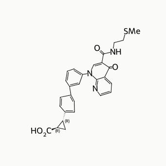 CSCCNC(=O)c1cn(-c2cccc(-c3ccc([C@@H]4C[C@H]4C(=O)O)cc3)c2)c2ncccc2c1=O